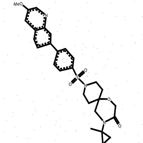 COc1cnc2cc(-c3ccc(S(=O)(=O)N4CCC5(CC4)CN(C4(C)CC4)C(=O)CO5)cc3)ccc2c1